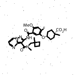 COc1cc(F)c(O[C@H]2CC[C@@](C)(C(=O)O)CC2)cc1C(=O)Nc1nn2cccnc2c1C(=O)N(C)CC1(C)CCC1